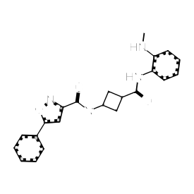 CNc1ccccc1NC(=O)C1CC(NC(=O)c2cc(-c3ccccc3)on2)C1